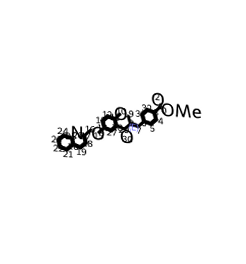 COC(=O)c1ccc(/C=C2\COc3ccc(OCc4ccc5ccccc5n4)cc3C2=O)cc1